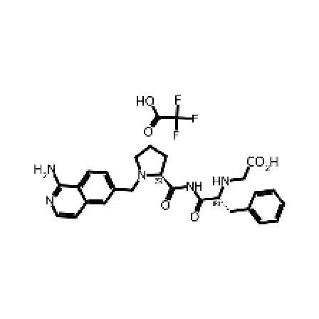 Nc1nccc2cc(CN3CCC[C@H]3C(=O)NC(=O)[C@@H](Cc3ccccc3)NCC(=O)O)ccc12.O=C(O)C(F)(F)F